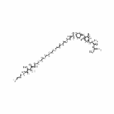 CCOCCNC(=O)C(O)C(O)C(=O)NCCOCCOCCOCCOCCOCCOCCNS(=O)(=O)c1ccc(Oc2c(F)cc(/C=C(\C)C(=O)N=C(N)N)cc2F)cc1